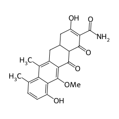 COc1c2c(c(C)c3c(C)ccc(O)c13)CC1CC(O)=C(C(N)=O)C(=O)C1C2=O